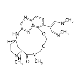 C=N/C=C(\C=N/C)c1ccc2ncc3nc2c1OCCCN(C)C(=O)[C@@H]1C[C@H](CCN1C)N3